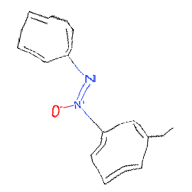 Cc1cccc([N+]([O-])=Nc2ccccc2)c1